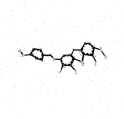 CCOc1ccc(COc2cc3c(c(F)c2F)Oc2c(ccc(OCC)c2F)C3)cc1